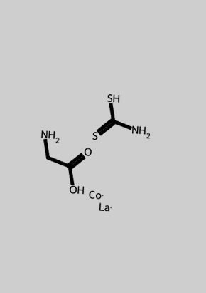 NC(=S)S.NCC(=O)O.[Co].[La]